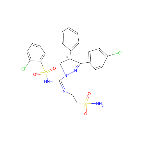 NS(=O)(=O)CCN=C(NS(=O)(=O)c1ccccc1Cl)N1C[C@H](c2ccccc2)C(c2ccc(Cl)cc2)=N1